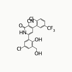 N#Cc1c(-c2cc(C(F)(F)F)ccc2Cl)cc(-c2cc(Cl)cc(CO)c2O)[nH]c1=O